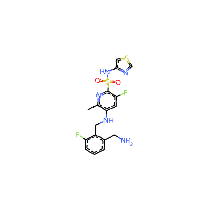 Cc1nc(S(=O)(=O)Nc2cscn2)c(F)cc1NCc1c(F)cccc1CN